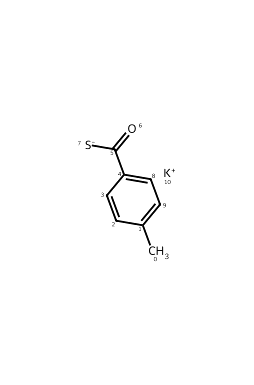 Cc1ccc(C(=O)[S-])cc1.[K+]